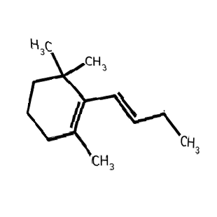 C[CH]C=CC1=C(C)CCCC1(C)C